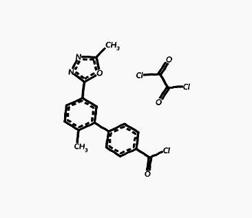 Cc1nnc(-c2ccc(C)c(-c3ccc(C(=O)Cl)cc3)c2)o1.O=C(Cl)C(=O)Cl